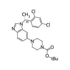 C[C@H](c1ccc(Cl)cc1Cl)n1cnc2ccc(N3CCN(C(=O)OC(C)(C)C)CC3)cc21